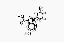 COc1cc2c(C(=O)O)nn(-c3cccc(Br)c3)c2nn1